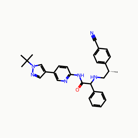 C[C@H](CNC(C(=O)Nc1ccc(-c2cnn(C(C)(C)C)c2)cn1)c1ccccc1)c1ccc(C#N)cc1